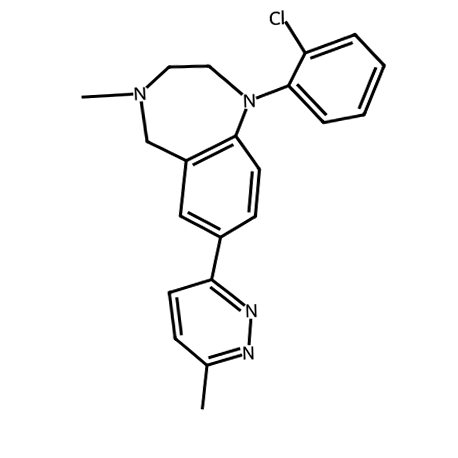 Cc1ccc(-c2ccc3c(c2)CN(C)CCN3c2ccccc2Cl)nn1